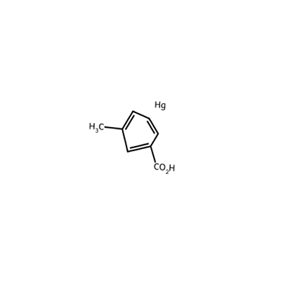 Cc1cccc(C(=O)O)c1.[Hg]